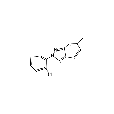 Cc1ccc2nn(-c3ccccc3Cl)nc2c1